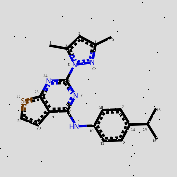 Cc1cc(C)n(-c2nc(Nc3ccc(C(C)C)cc3)c3ccsc3n2)n1